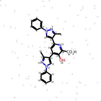 Cc1nn(-c2ccccc2)cc1-c1cc(-c2cn(-c3ccccc3)nc2C)c(O)c(C(=O)O)n1